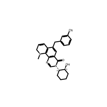 CN1CC=Cc2c(Cc3cccc(C#N)c3)cc3c(=O)n([C@H]4CCCC[C@@H]4O)cnc3c21